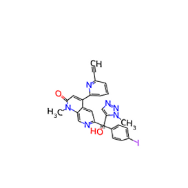 C#Cc1cccc(-c2cc(=O)n(C)c3cnc([C@](O)(c4ccc(I)cc4)c4cnnn4C)cc23)n1